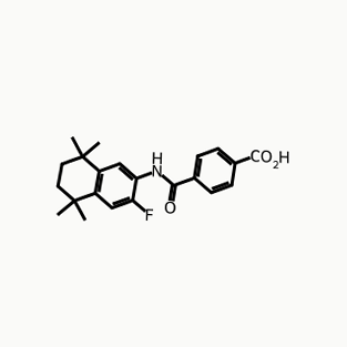 CC1(C)CCC(C)(C)c2cc(NC(=O)c3ccc(C(=O)O)cc3)c(F)cc21